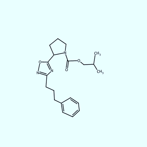 CC(C)COC(=O)N1CCCC1c1nc(CCCc2ccccc2)no1